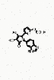 CC(=O)C1=C(O)C(=O)N(c2ccc3nc[nH]c3c2)C1c1ccc(OC(=O)O)o1